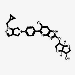 O[C@@H]1CO[C@H]2[C@@H]1OC[C@H]2Oc1nc2nc(-c3ccc(N4Cc5cnn(CC6CC6)c5C4)cc3)c(Cl)cc2[nH]1